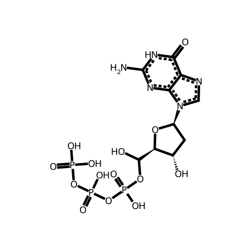 Nc1nc2c(ncn2[C@H]2C[C@H](O)[C@@H](C(O)OP(=O)(O)OP(=O)(O)OP(=O)(O)O)O2)c(=O)[nH]1